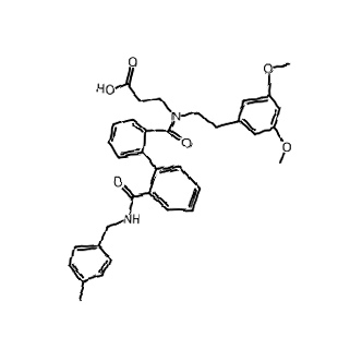 COc1cc(CCN(CCC(=O)O)C(=O)c2ccccc2-c2ccccc2C(=O)NCc2ccc(C)cc2)cc(OC)c1